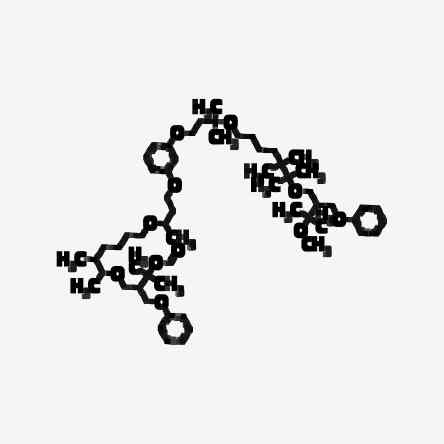 COC(C)(C)C(COc1ccccc1)COC(C)(C)C(C)(C)CCCCOC(C)(C)CCOc1cccc(OCCC(C)OCCCCC(C)C(C)OCC(COc2ccccc2)C(C)(C)OC=O)c1